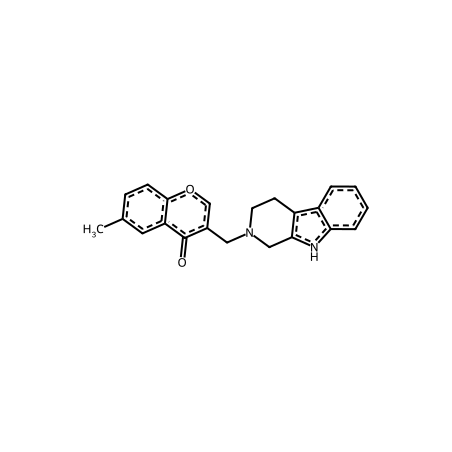 Cc1ccc2occ(CN3CCc4c([nH]c5ccccc45)C3)c(=O)c2c1